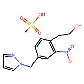 CS(=O)(=O)O.O=[N+]([O-])c1cc(Cn2cccn2)ccc1CCO